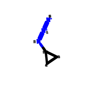 [N-]=[N+]=N[C]1CC1